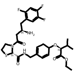 CCOC(=O)[C@@H](OC1C=CC(CNC(=O)[C@@H]2SCCN2C(=O)C[C@H](N)Cc2cc(F)c(F)cc2F)=CC1)C(C)C